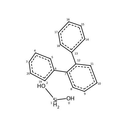 O[SiH2]O.c1ccc(-c2ccccc2-c2ccccc2)cc1